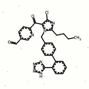 CCCCc1nc(Cl)c(C(=O)c2ccc(C=O)cn2)n1Cc1ccc(-c2ccccc2-c2nnn[nH]2)cc1